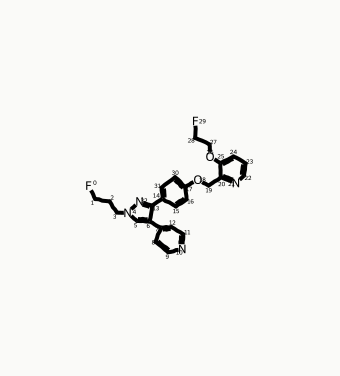 FCCCn1cc(-c2ccncc2)c(-c2ccc(OCc3ncccc3OCCF)cc2)n1